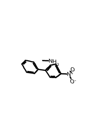 CN.O=[N+]([O-])c1ccc(-c2ccccc2)cc1